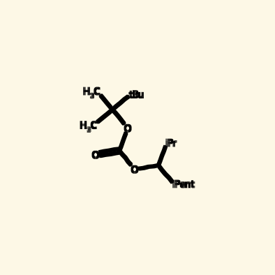 CCCC(C)C(OC(=O)OC(C)(C)C(C)(C)C)C(C)C